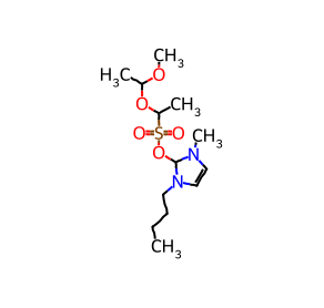 CCCCN1C=CN(C)C1OS(=O)(=O)C(C)OC(C)OC